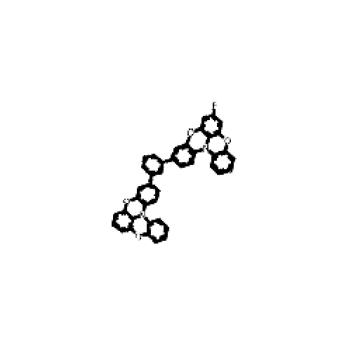 Fc1cc2c3c(c1)Oc1cc(-c4cccc(-c5ccc6c(c5)Oc5cccc7c5N6c5ccccc5O7)c4)ccc1N3c1ccccc1O2